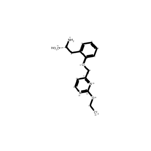 N[C@H](Cc1ccccc1OCc1ccnc(OCC(F)(F)F)n1)C(=O)O